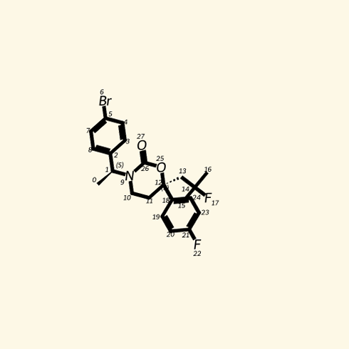 C[C@@H](c1ccc(Br)cc1)N1CC[C@](CC(C)(C)F)(c2ccc(F)cc2)OC1=O